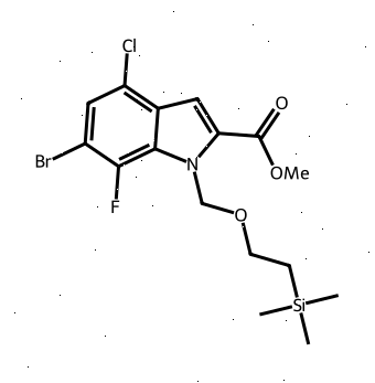 COC(=O)c1cc2c(Cl)cc(Br)c(F)c2n1COCC[Si](C)(C)C